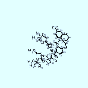 C=CCN(CC1(C(=O)NS(=O)(=O)c2ccc3c(c2)N(C[C@@H]2CC[C@H]2[C@@H](C=C)OC)C[C@@]2(CCCc4cc(Cl)ccc42)CO3)CCC1)C(=O)OC(C)(C)C